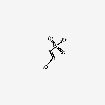 CCS(=O)(=O)C=C[O]